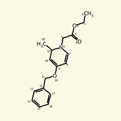 CCOC(=O)CN1C=CC(OCc2ccccc2)=CC1C